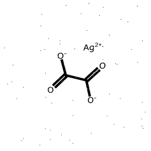 O=C([O-])C(=O)[O-].[Ag+2]